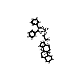 C[C@]12CC[C@H]3[C@@H](CCC4CCCC[C@@]43C)[C@@H]1CC[C@@H]2C(=O)COP(=O)(OCc1ccccc1)OCc1ccccc1